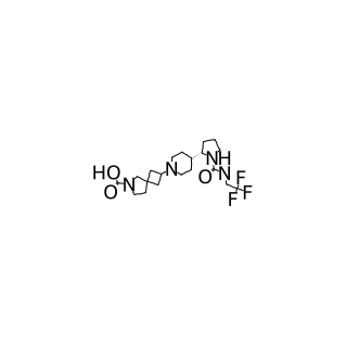 O=C(O)N1CCC2(CC(N3CCC([C@@H]4CCCN4C(=O)NCC(F)(F)F)CC3)C2)C1